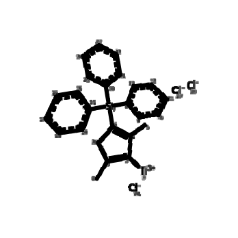 CC1=[C]([Ti+3])C(C)=C([Si](c2ccccc2)(c2ccccc2)c2ccccc2)C1.[Cl-].[Cl-].[Cl-]